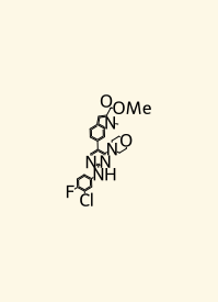 COC(=O)c1cc2ccc(-c3cnc(Nc4ccc(F)c(Cl)c4)nc3N3CCOCC3)cc2n1C